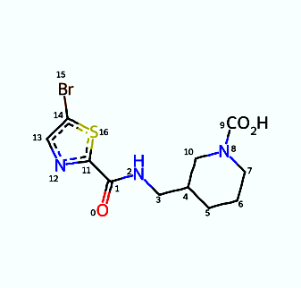 O=C(NCC1CCCN(C(=O)O)C1)c1ncc(Br)s1